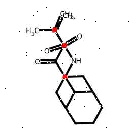 C=COC(=O)N1CC2CCCC(C1)C2CNS(=O)(=O)N(C)C